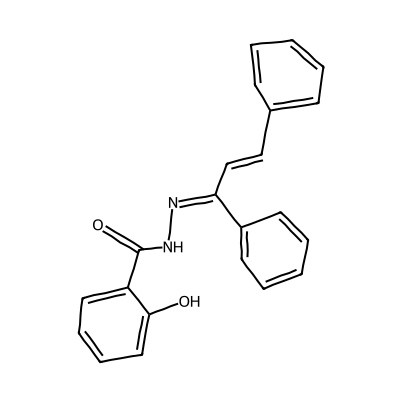 O=C(N/N=C(/C=C/c1ccccc1)c1ccccc1)c1ccccc1O